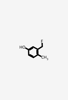 Cc1ccc(O)cc1CF